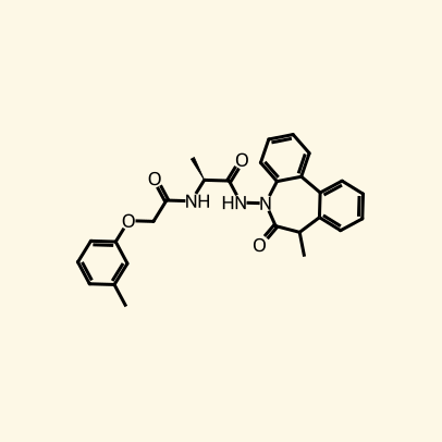 Cc1cccc(OCC(=O)N[C@@H](C)C(=O)NN2C(=O)C(C)c3ccccc3-c3ccccc32)c1